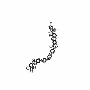 O=C1CCC(N2Cc3cc(N4CCC(CN5CCN(c6ccc(-n7cnc8ccc(Oc9c(F)ccc(N[S+]([O-])N%10CCC(F)C%10)c9F)cc8c7=O)cc6)CC5)CC4)ccc3C2=O)C(=O)N1